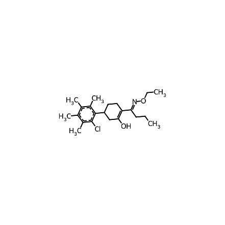 CCCC(=NOCC)C1=C(O)CC(c2c(C)c(C)c(C)c(C)c2Cl)CC1